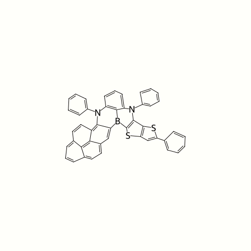 c1ccc(-c2cc3sc4c(c3s2)N(c2ccccc2)c2cccc3c2B4c2cc4ccc5cccc6ccc(c2N3c2ccccc2)c4c56)cc1